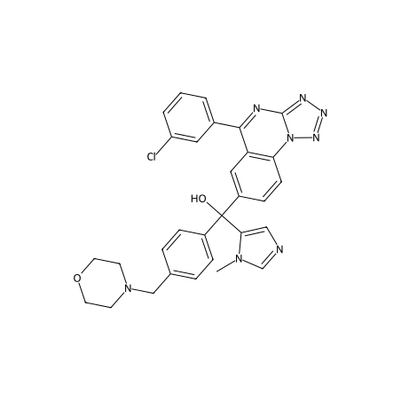 Cn1cncc1C(O)(c1ccc(CN2CCOCC2)cc1)c1ccc2c(c1)c(-c1cccc(Cl)c1)nc1nnnn12